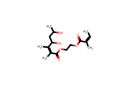 CC=C(C)C(=O)OCCOC(=O)C(C)=C(C)C(O)CC(C)O